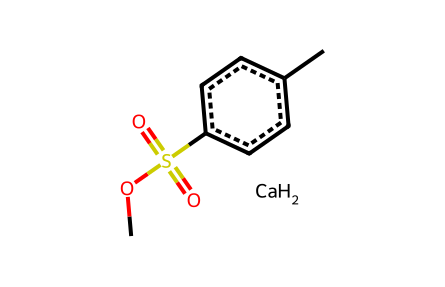 COS(=O)(=O)c1ccc(C)cc1.[CaH2]